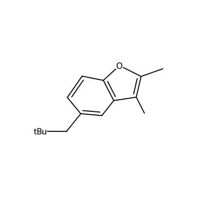 Cc1oc2ccc(CC(C)(C)C)cc2c1C